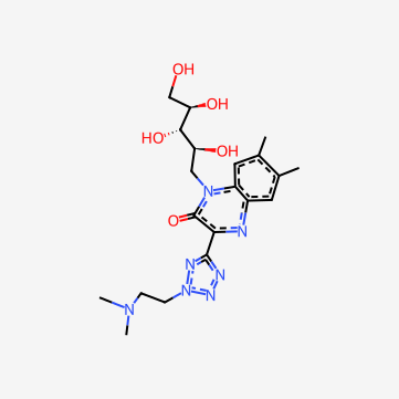 Cc1cc2nc(-c3nnn(CCN(C)C)n3)c(=O)n(C[C@H](O)[C@H](O)[C@H](O)CO)c2cc1C